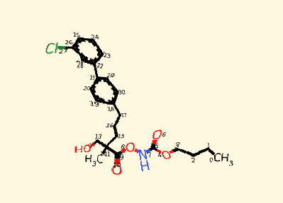 CCCCOC(=O)NOC(=O)C(C)(CO)CCCc1ccc(-c2cccc(Cl)c2)cc1